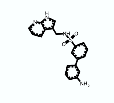 Nc1cccc(-c2cccc(S(=O)(=O)NCc3c[nH]c4ncccc34)c2)c1